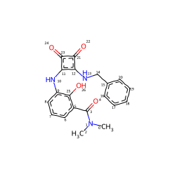 CN(C)C(=O)c1cccc(Nc2c(NCc3ccccc3)c(=O)c2=O)c1O